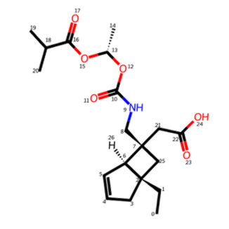 CC[C@@]12CC=C[C@H]1[C@](CNC(=O)O[C@@H](C)OC(=O)C(C)C)(CC(=O)O)C2